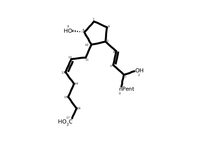 CCCCCC(O)/C=C/C1CC[C@@H](O)C1C/C=C\CCCC(=O)O